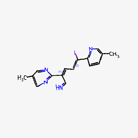 Cc1ccc(/C(I)=C/C=C(\C=N)c2ncc(C)cn2)nc1